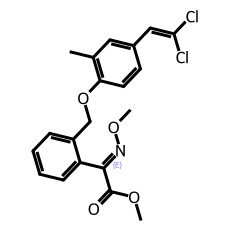 CO/N=C(/C(=O)OC)c1ccccc1COc1ccc(C=C(Cl)Cl)cc1C